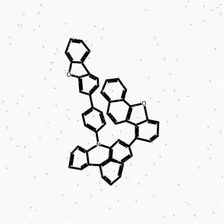 c1ccc(-c2ccccc2N(c2ccc(-c3ccc4c(c3)oc3ccccc34)cc2)c2cccc(-c3cccc4oc5c6ccccc6ccc5c34)c2)cc1